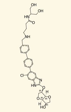 O=C(CCCNCc1ccc(-c2ccc(-c3cc4nc(O[C@@H]5CO[C@H]6[C@@H]5OC[C@H]6O)[nH]c4cc3Cl)cc2)cc1)NC(CO)CO